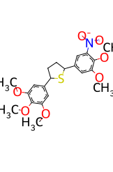 COc1cc(C2CCC(c3cc(OC)c(OC)c([N+](=O)[O-])c3)S2)cc(OC)c1OC